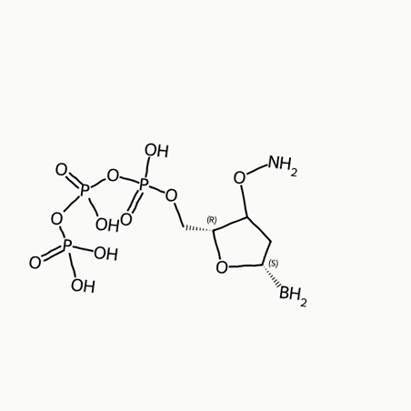 B[C@H]1CC(ON)[C@@H](COP(=O)(O)OP(=O)(O)OP(=O)(O)O)O1